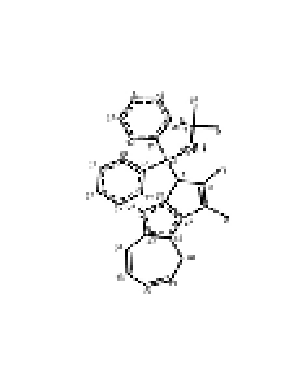 CC1=C(C)C(S(NC(C)(C)C)(c2ccccc2)c2ccccc2)c2sc3c(c21)CC=CC=C3